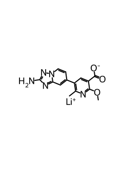 COc1nc(C)c(-c2ccn3nc(N)nc3c2)cc1C(=O)[O-].[Li+]